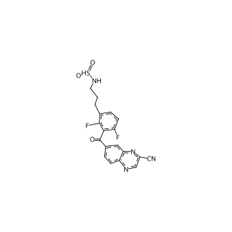 N#Cc1cnc2ccc(C(=O)c3c(F)ccc(CCCN[SH](=O)=O)c3F)cc2n1